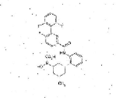 C[C@@H]1CC(N(O)C(=O)O)C[C@H](c2ccncc2NC(=O)c2ccc(F)c(-c3c(F)cccc3F)n2)C1